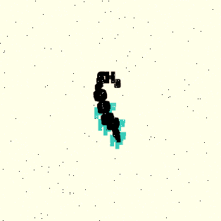 CCCCC1CCC(c2cc(F)c(-c3cc(F)c4c(F)c(C#CC(F)(F)F)c(F)cc4c3)c(F)c2)CC1